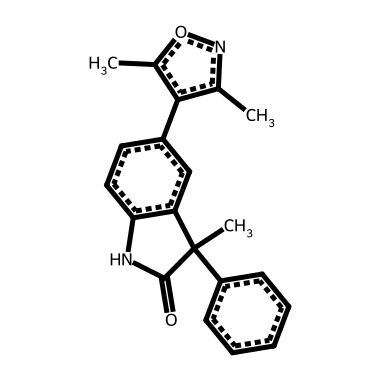 Cc1noc(C)c1-c1ccc2c(c1)C(C)(c1ccccc1)C(=O)N2